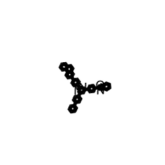 c1ccc(-c2ccc(-c3cc(-c4ccc(-c5nc6ccccc6o5)cc4)nc(-c4ccc(-c5ccc6c(ccc7ccccc76)c5)cc4)n3)cc2)cc1